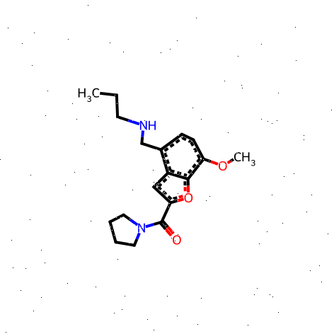 CCCNCc1ccc(OC)c2oc(C(=O)N3CCCC3)cc12